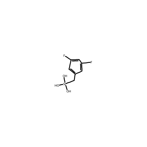 O[Si](O)(O)Cc1cc(F)cc(F)c1